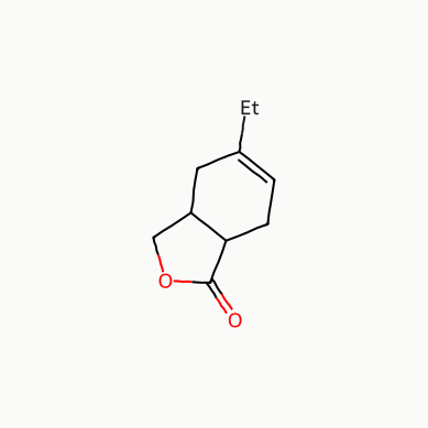 CCC1=CCC2C(=O)OCC2C1